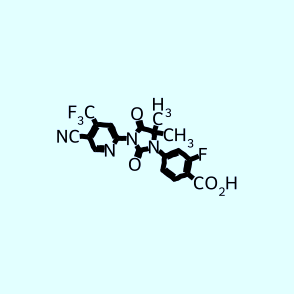 CC1(C)C(=O)N(c2cc(C(F)(F)F)c(C#N)cn2)C(=O)N1c1ccc(C(=O)O)c(F)c1